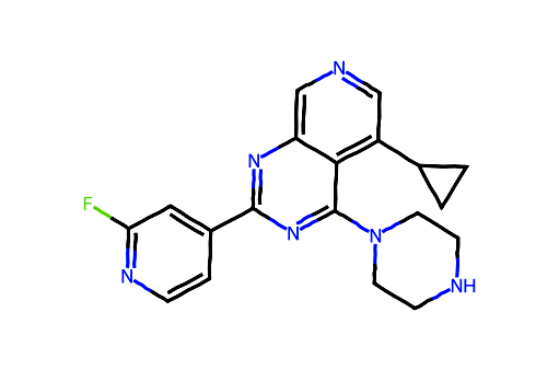 Fc1cc(-c2nc(N3CCNCC3)c3c(C4CC4)cncc3n2)ccn1